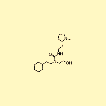 CN1CCC[C@H]1CCNC(=O)N(CCO)CCC1CCCCC1